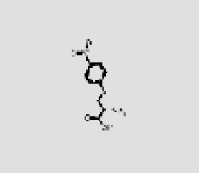 N[C@@H](CSc1ccc([N+](=O)[O-])cc1)C(=O)O